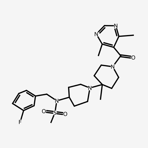 Cc1ncnc(C)c1C(=O)N1CCC(C)(N2CCC(N(Cc3cccc(F)c3)S(C)(=O)=O)CC2)CC1